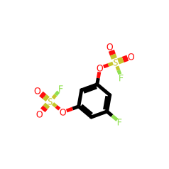 O=S(=O)(F)Oc1cc(F)cc(OS(=O)(=O)F)c1